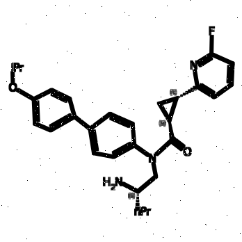 CCC[C@H](N)CN(C(=O)[C@H]1C[C@@H]1c1cccc(F)n1)c1ccc(-c2ccc(OC(C)C)cc2)cc1